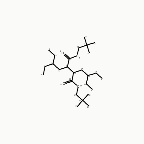 CCC(CC)CC(C(=O)OCC(C)(C)C)C(CC(CC)CC)C(=O)OCC(C)(C)C